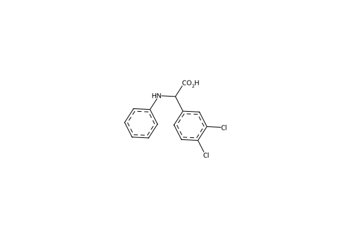 O=C(O)C(Nc1ccccc1)c1ccc(Cl)c(Cl)c1